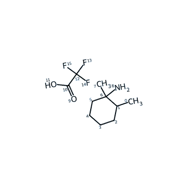 CC1CCCCC1(C)N.O=C(O)C(F)(F)F